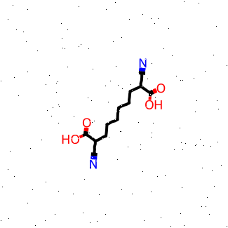 N#CC(CCCCCCC(C#N)C(=O)O)C(=O)O